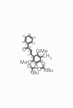 COc1c(C)c(OC(=O)C(C)(C)C)c(OC(=O)C(C)(C)C)c(OC)c1C=CC(=O)c1ccccc1